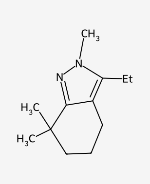 CCc1c2c(nn1C)C(C)(C)CCC2